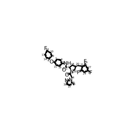 O=C(Nc1ccc(Oc2ccc(F)cc2)cc1)[C@@H]1C[C@@H](Cc2c(F)cc(F)cc2F)CN1C(=O)Cn1nccn1